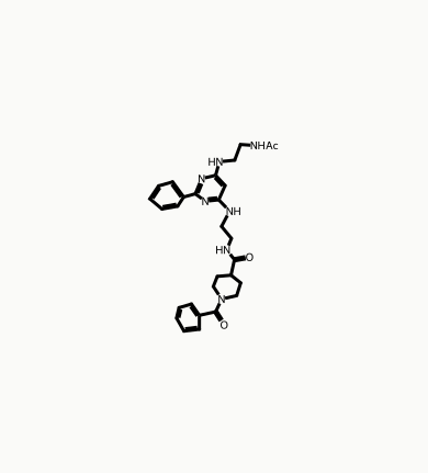 CC(=O)NCCNc1cc(NCCNC(=O)C2CCN(C(=O)c3ccccc3)CC2)nc(-c2ccccc2)n1